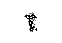 C[n+]1c2c3c(cccc3c3ccc(-c4ccc[nH]c4=O)cc31)Oc1ccc(F)cc1-2